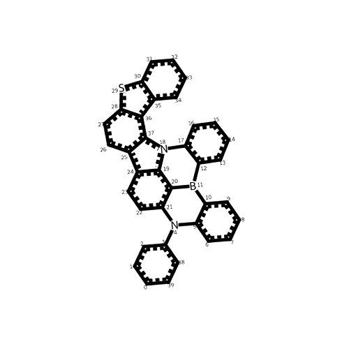 c1ccc(N2c3ccccc3B3c4ccccc4-n4c5c3c2ccc5c2ccc3sc5ccccc5c3c24)cc1